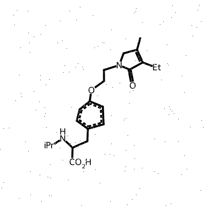 CCC1=C(C)CN(CCOc2ccc(CC(NC(C)C)C(=O)O)cc2)C1=O